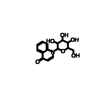 O=c1ccn(C2OC(CO)C(O)C(O)C2O)c2ccccc12